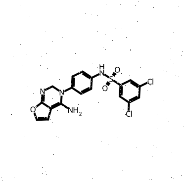 NC1=c2ccoc2=NCN1c1ccc(NS(=O)(=O)c2cc(Cl)cc(Cl)c2)cc1